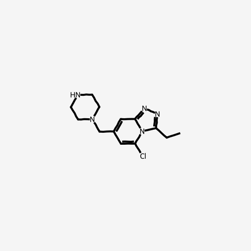 CCc1nnc2cc(CN3CCNCC3)cc(Cl)n12